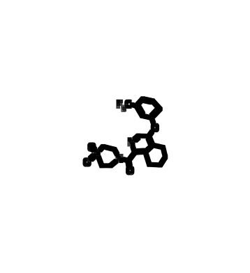 O=C(c1ncc(Oc2cccc(C(F)(F)F)c2)c2c1CCCC2)N1CCS(=O)(=O)CC1